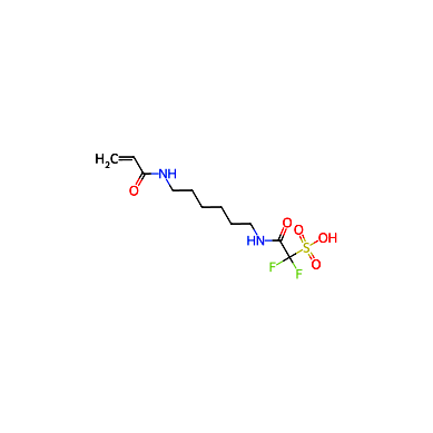 C=CC(=O)NCCCCCCNC(=O)C(F)(F)S(=O)(=O)O